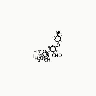 [C-]#[N+]c1ccc(Oc2ccc(B3OC(C)(C)C(C)(C)O3)c(C=O)c2)nc1